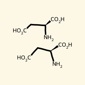 N[C@@H](CC(=O)O)C(=O)O.N[C@@H](CC(=O)O)C(=O)O